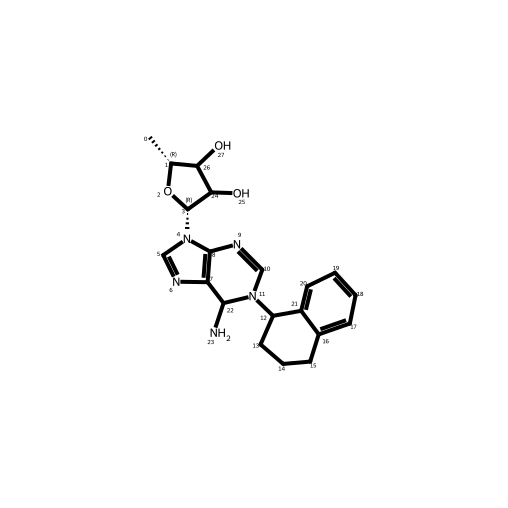 C[C@H]1O[C@@H](n2cnc3c2N=CN(C2CCCc4ccccc42)C3N)C(O)C1O